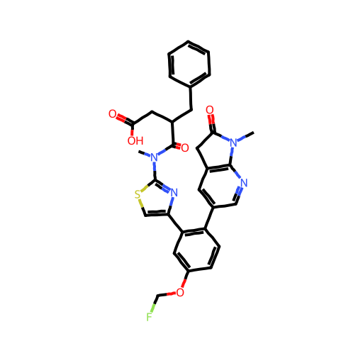 CN(C(=O)C(CC(=O)O)Cc1ccccc1)c1nc(-c2cc(OCF)ccc2-c2cnc3c(c2)CC(=O)N3C)cs1